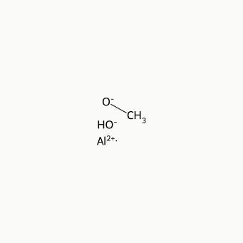 C[O-].[Al+2].[OH-]